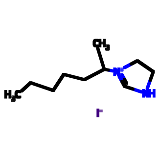 CCCCCC(C)[N+]1=CNCC1.[I-]